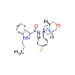 CCCn1nc(C(=O)N[C@H]2C[C@H]3COC[C@@H](C2)N3Cc2ccc(F)cc2)c2ccccc21